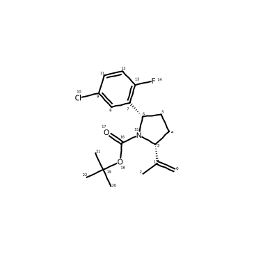 C=C(C)[C@H]1CC[C@@H](c2cc(Cl)ccc2F)N1C(=O)OC(C)(C)C